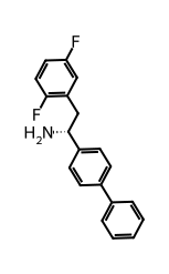 N[C@H](Cc1cc(F)ccc1F)c1ccc(-c2ccccc2)cc1